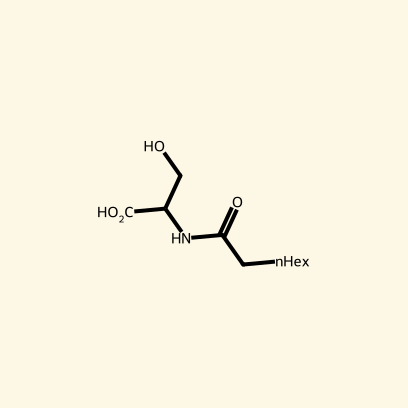 CCCCCCCC(=O)NC(CO)C(=O)O